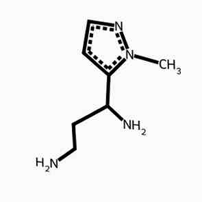 Cn1nccc1C(N)CCN